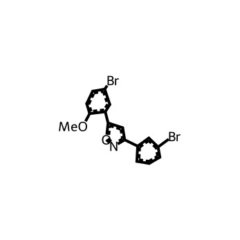 COc1ccc(Br)cc1-c1cc(-c2cccc(Br)c2)no1